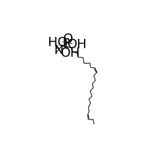 CC/C=C\CCCCCCCCCC/C=C\CCCCCCCCC(O)(C[N+](C)(C)C)P(=O)(O)O